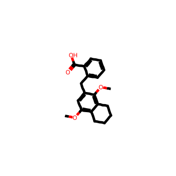 COc1cc(Cc2ccccc2C(=O)O)c(OC)c2c1CCCC2